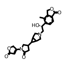 Cc1c([C@@H](O)CN2CC3C(C2)C3C2CC(=O)N(C3=CC(=O)OC3)C2)ccc2c1COC2=O